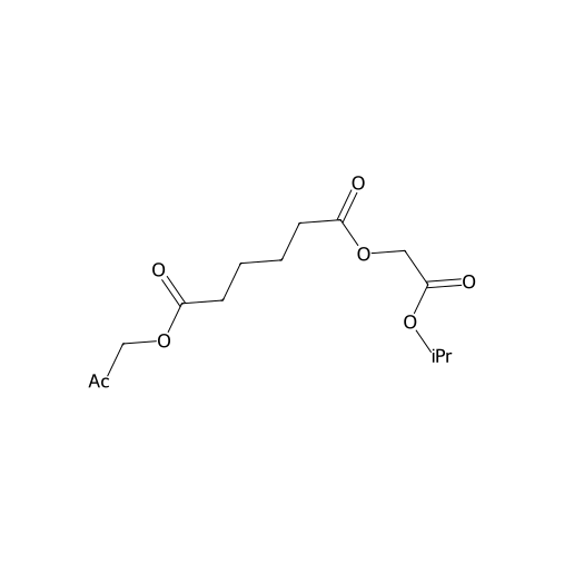 CC(=O)COC(=O)CCCCC(=O)OCC(=O)OC(C)C